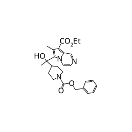 CCOC(=O)c1c(C)c(C(C)(O)C2CCN(C(=O)OCc3ccccc3)CC2)n2ccncc12